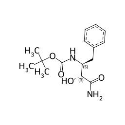 CC(C)(C)OC(=O)N[C@@H](Cc1ccccc1)[C@@H](O)C(N)=O